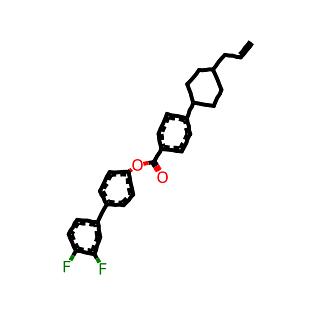 C=CCC1CCC(c2ccc(C(=O)Oc3ccc(-c4ccc(F)c(F)c4)cc3)cc2)CC1